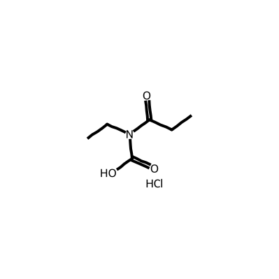 CCC(=O)N(CC)C(=O)O.Cl